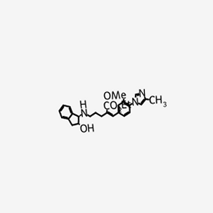 CCOC(=O)/C(=C\c1ccc(-n2cnc(C)c2)c(OC)c1)CCCN[C@@H]1c2ccccc2C[C@@H]1O